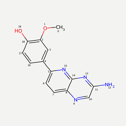 COc1cc(-c2ccc3ncc(N)nc3n2)ccc1O